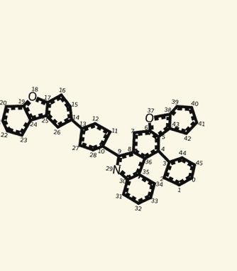 c1ccc(-c2c3c(cc4c(-c5ccc(-c6ccc7oc8ccccc8c7c6)cc5)nc5ccccc5c24)oc2ccccc23)cc1